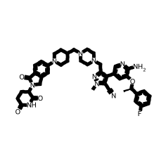 C[C@@H](Oc1cc(-c2c(CN3CCN(CC4CCN(c5ccc6c(c5)CN(C5CCC(=O)NC5=O)C6=O)CC4)CC3)nn(C)c2C#N)cnc1N)c1cccc(F)c1